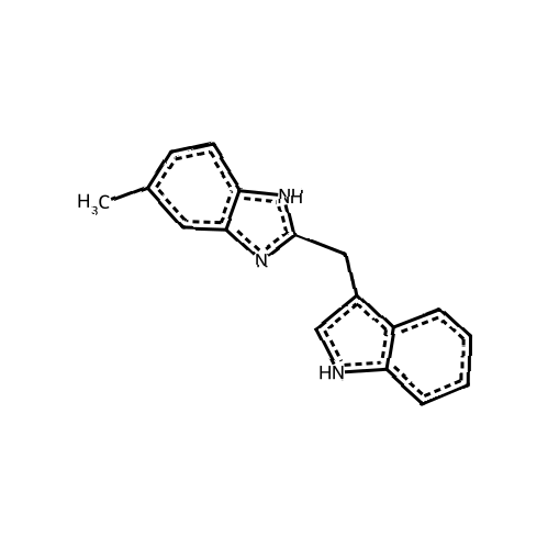 Cc1ccc2[nH]c(Cc3c[nH]c4ccccc34)nc2c1